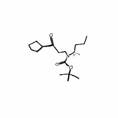 CCC[C@H](C)N(CCC(=O)C1CCCC1)C(=O)OC(C)(C)C